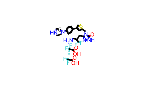 NCC(Cc1n[nH]c(=O)n1Cc1cc(-c2ccc(N3CCNCC3)cc2)cs1)=C(F)F.O=C(O)C(F)(F)F.O=C(O)C(F)(F)F